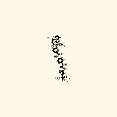 CC(CCOc1ccc(C(=O)Nc2ccc(NC(=O)Nc3cc(C(C)(C)C)on3)cc2)nc1)[N+]1(OS(C)(=O)=O)CCCC1